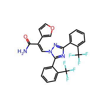 NC(=O)/C(=C/n1nc(-c2ccccc2C(F)(F)F)nc1-c1ccccc1C(F)(F)F)c1ccoc1